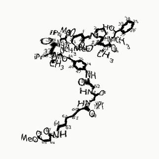 CC[C@H](C)[C@@H]([C@@H](CC(=O)N1CCC[C@H]1[C@H](OC)[C@@H](C)C(=O)N[C@H](C)[C@@H](O)c1ccccc1)OC)N(C)C(=O)[C@@H](NC(=O)[C@H](C(C)C)N(C)C(=O)OCc1ccc(NC(=O)CNC(=O)[C@@H](NC(=O)CCCCCNC(=O)/C=C\C(=O)OC)C(C)C)cc1)C(C)C